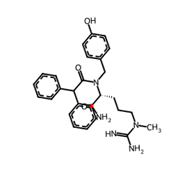 CN(CCC[C@H](C(N)=O)N(Cc1ccc(O)cc1)C(=O)C(c1ccccc1)c1ccccc1)C(=N)N